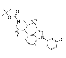 CC1CN(C(=O)OC(C)(C)C)C[C@H](C)N1c1ncnc2c1c(C1CC1)cn2-c1cccc(Cl)c1